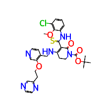 COc1c(Cl)cccc1NC(=S)C1=C(NCc2ccncc2OCCc2cnccn2)CCN(C(=O)OC(C)(C)C)C1=O